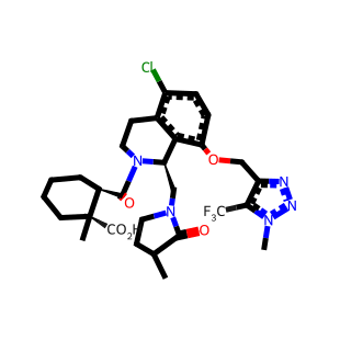 CC1CCN(C[C@@H]2c3c(OCc4nnn(C)c4C(F)(F)F)ccc(Cl)c3CCN2C(=O)[C@@H]2CCCC[C@]2(C)C(=O)O)C1=O